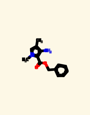 Cc1cn(C)c(C(=O)OCc2ccccc2)c1N